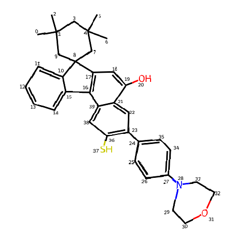 CC1(C)CC(C)(C)CC2(C1)c1ccccc1-c1c2cc(O)c2cc(-c3ccc(N4CCOCC4)cc3)c(S)cc12